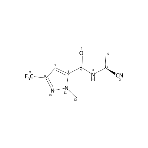 C[C@@H](C#N)NC(=O)c1cc(C(F)(F)F)nn1C